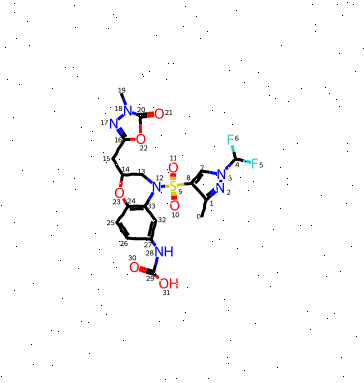 Cc1nn(C(F)F)cc1S(=O)(=O)N1CC(Cc2nn(C)c(=O)o2)Oc2ccc(NC(=O)O)cc21